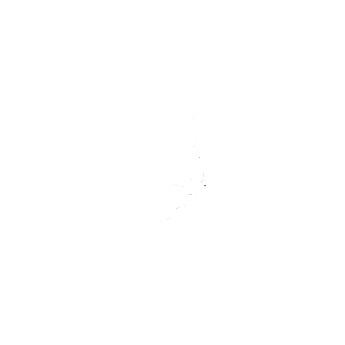 CCCCCCCC[Si](C)(CCCC)CCCCCCC